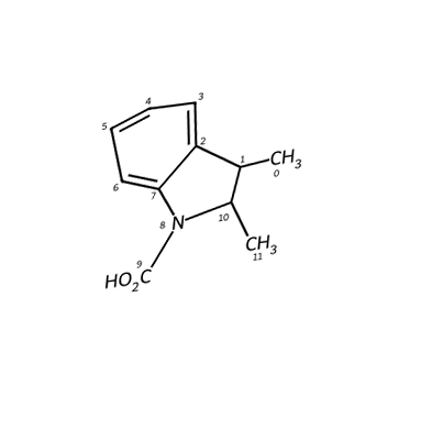 CC1c2ccccc2N(C(=O)O)C1C